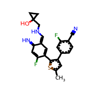 Cc1cc(-c2ccc(C#N)c(F)c2)c(C2=C/C(=C/NCC3(O)CC3)C(=N)C=C2F)s1